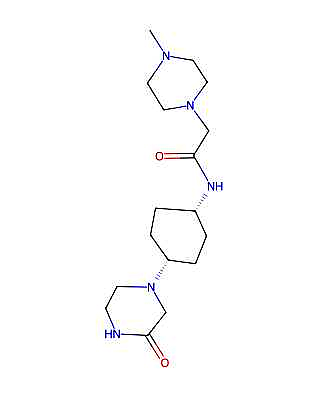 CN1CCN(CC(=O)N[C@H]2CC[C@@H](N3CCNC(=O)C3)CC2)CC1